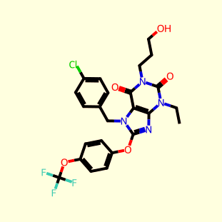 CCn1c(=O)n(CCCO)c(=O)c2c1nc(Oc1ccc(OC(F)(F)F)cc1)n2Cc1ccc(Cl)cc1